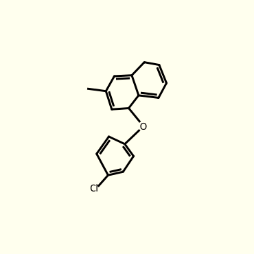 CC1=CC(Oc2ccc(Cl)cc2)C2=CC=CCC2=C1